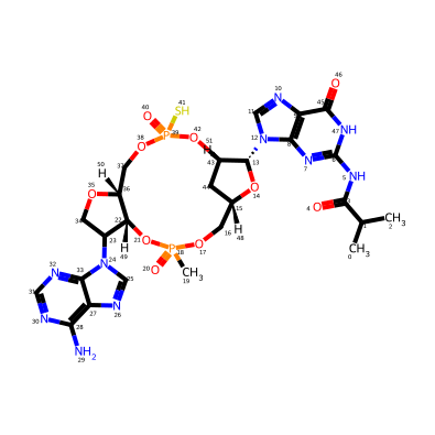 CC(C)C(=O)Nc1nc2c(ncn2[C@@H]2O[C@@H]3COP(C)(=O)O[C@@H]4C(n5cnc6c(N)ncnc65)CO[C@@H]4COP(=O)(S)O[C@H]2C3)c(=O)[nH]1